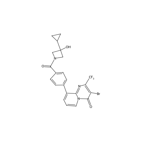 O=C(c1ccc(-c2cccn3c(=O)c(Br)c(C(F)(F)F)nc23)cc1)N1CC(O)(C2CC2)C1